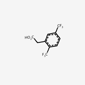 O=C(O)Cc1cc(C(F)(F)F)ccc1C(F)(F)F